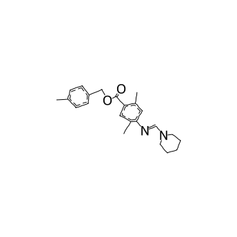 Cc1ccc(COC(=O)c2cc(C)c(/N=C/N3CCCCC3)cc2C)cc1